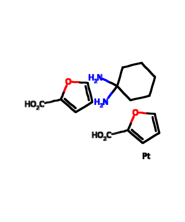 NC1(N)CCCCC1.O=C(O)c1ccco1.O=C(O)c1ccco1.[Pt]